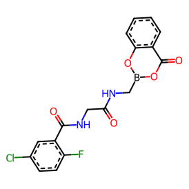 O=C(CNC(=O)c1cc(Cl)ccc1F)NCB1OC(=O)c2ccccc2O1